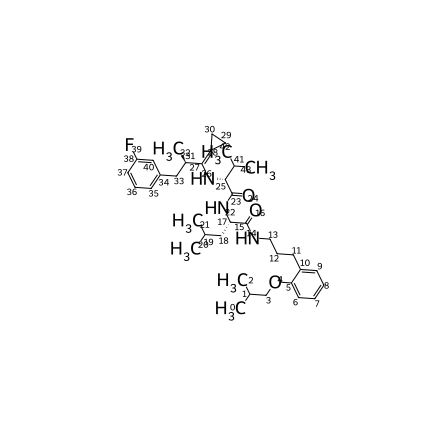 CC(C)COc1ccccc1CCCNC(=O)[C@H](CC(C)C)NC(=O)[C@H](NC(=C1CC1)[C@H](C)Cc1cccc(F)c1)C(C)C